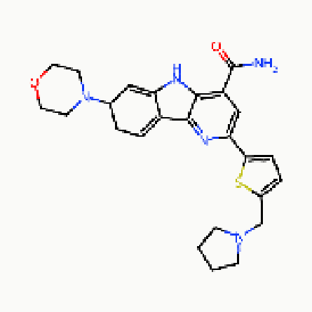 NC(=O)c1cc(-c2ccc(CN3CCCC3)s2)nc2c3c([nH]c12)=CC(N1CCOCC1)CC=3